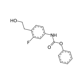 O=C(Nc1ccc(CCO)c(F)c1)Oc1ccccc1